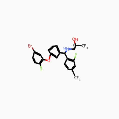 O[C@H](CNC(c1cccc(Oc2cc(Br)ccc2F)c1)c1ccc(C(F)(F)F)cc1F)C(F)(F)F